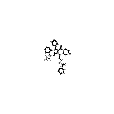 CCCS(=O)(=O)Nc1ccccc1-n1c(-c2ccccc2)c(C(=O)N2CCNCC2)n(CCCNC(=O)c2ccccc2)c1=O